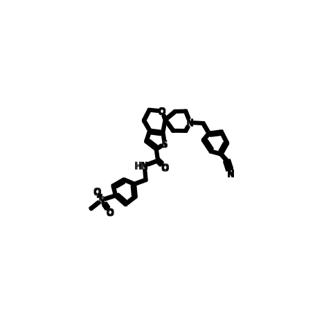 CS(=O)(=O)c1ccc(CNC(=O)c2cc3c(s2)C2(CCN(Cc4ccc(C#N)cc4)CC2)OCC3)cc1